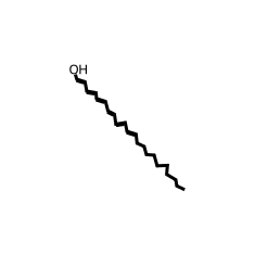 CCCCCCCCCCC=CC=CC=CC=CC=CC=CO